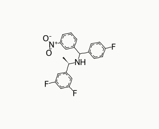 C[C@@H](NC(c1ccc(F)cc1)c1cccc([N+](=O)[O-])c1)c1cc(F)cc(F)c1